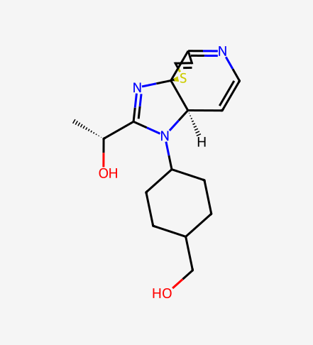 C[C@@H](O)C1=N[C@]23SC=CC2=NC=C[C@H]3N1C1CCC(CO)CC1